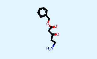 NCCC(=O)CC(=O)OCc1ccccc1